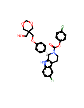 O=C(Oc1ccc(Cl)cc1)N1CCc2c([nH]c3ccc(Cl)cc23)[C@@H]1c1ccc(OCC2(CO)COCOC2)cc1